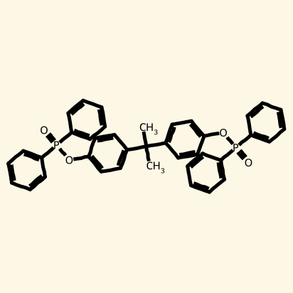 CC(C)(c1ccc(OP(=O)(c2ccccc2)c2ccccc2)cc1)c1ccc(OP(=O)(c2ccccc2)c2ccccc2)cc1